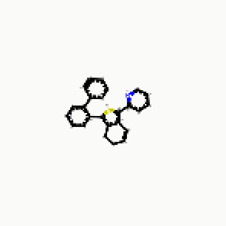 c1cccc(-c2ccccc2-c2sc(-c3ccccn3)c3c2CCC=C3)c#1